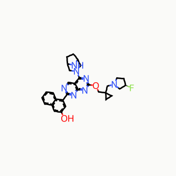 Oc1cc(-c2ncc3c(N4CC5CCC(C4)N5)nc(OCC4(CN5CC[C@@H](F)C5)CC4)nc3n2)c2ccccc2c1